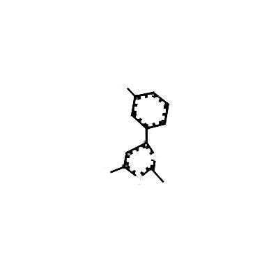 FC(F)(F)c1cccc(-c2cc(C(F)(F)F)nc(Cl)n2)c1